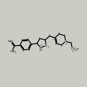 N=C(N)c1ccc(C2CC(CC3=CCN(CC(=O)O)CC3)ON2)cc1